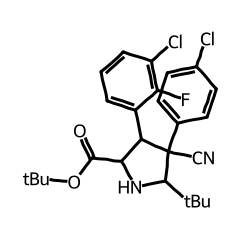 CC(C)(C)OC(=O)C1NC(C(C)(C)C)C(C#N)(c2ccc(Cl)cc2)C1c1cccc(Cl)c1F